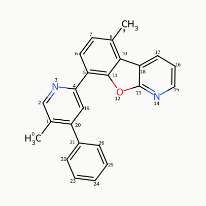 Cc1cnc(-c2ccc(C)c3c2oc2ncccc23)cc1-c1ccccc1